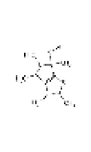 CC1=C(C)C(C)(SI)c2sc(C)c(C)c21